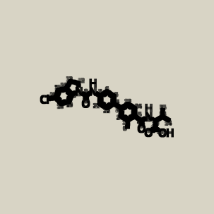 Cc1cc(-c2ccc(NC(=O)N3CCc4cc(Cl)ccc43)cc2)ccc1C(=O)N[C@H](C(=O)O)C(C)C